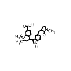 CCCC(c1ccc(C(=O)O)cc1OC)c1c[nH]c2ccc(CC3CCN(C)C3=O)cc12